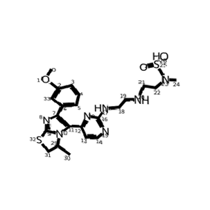 COc1cccc(-c2nc3n(c2-c2ccnc(NCCNCCN(C)[SH](=O)=O)n2)C(C)CS3)c1